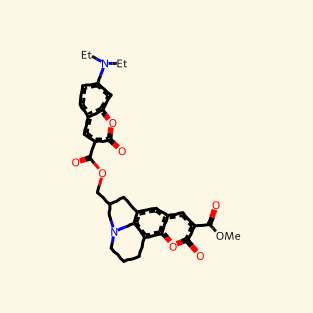 CCN(CC)c1ccc2cc(C(=O)OCC3Cc4cc5cc(C(=O)OC)c(=O)oc5c5c4N(CCC5)C3)c(=O)oc2c1